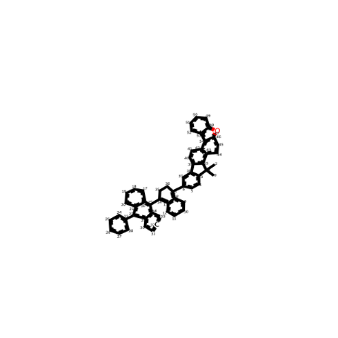 CC1(C)c2ccc(C3=c4ccccc4=C(c4c5ccccc5c(-c5ccccc5)c5ccccc45)CC3)cc2-c2ccc3c(ccc4oc5ccccc5c43)c21